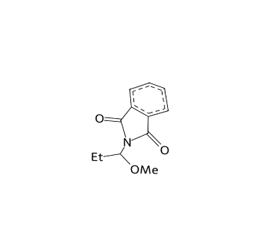 CCC(OC)N1C(=O)c2ccccc2C1=O